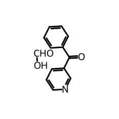 O=C(c1ccccc1)c1cccnc1.O=CO